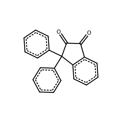 O=C1C(=O)C(c2ccccc2)(c2ccccc2)c2ccccc21